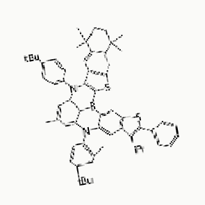 CC1=CC2C3B(c4cc5sc(-c6ccccc6)c(C(C)C)c5cc4N(c4ccc(C(C)(C)C)cc4C)C3=C1)c1sc3cc4c(cc3c1N2c1ccc(C(C)(C)C)cc1)C(C)(C)CCC4(C)C